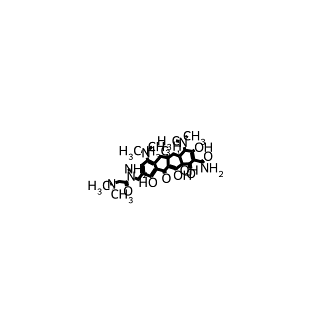 CN(C)CC(=O)N(N)Cc1cc(N(C)C)c2c(c1O)C(=O)C1=C(O)[C@]3(O)C(=O)C(C(N)=O)=C(O)C(N(C)C)[C@@H]3C[C@]1(C)C2